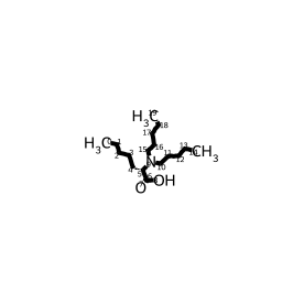 CCCCC[C@@H](C(=O)O)N(CCCCC)CCCCC